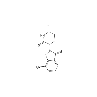 C=C1CCC(N2Cc3c(N)cccc3C2=S)C(=S)N1